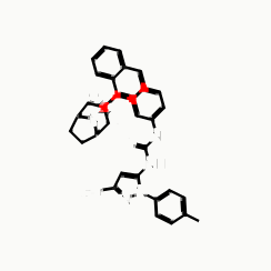 Cc1ccc(-n2nc(C(C)(C)C)cc2NC(=O)Nc2cccc(CC3CC4CCC(C3)N4S(=O)(=O)c3cccc4ccccc34)c2)cc1